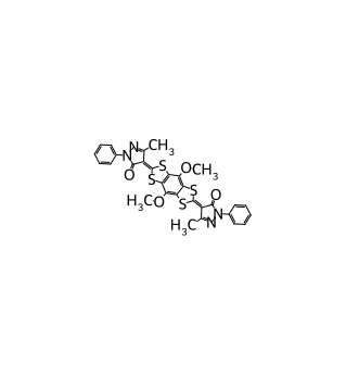 COc1c2c(c(OC)c3c1SC(=C1C(=O)N(c4ccccc4)N=C1C)S3)SC(=C1C(=O)N(c3ccccc3)N=C1C)S2